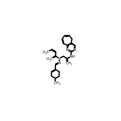 C=C(CN(/N=C/C1=CCC(C)CC1)C(=C)/C=C\C)Nc1ncc2c(n1)C=CC=CC2